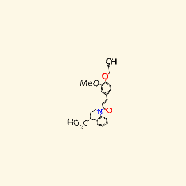 C#CCOc1ccc(C=CC(=O)N2CCC(C(=O)O)c3ccccc32)cc1OC